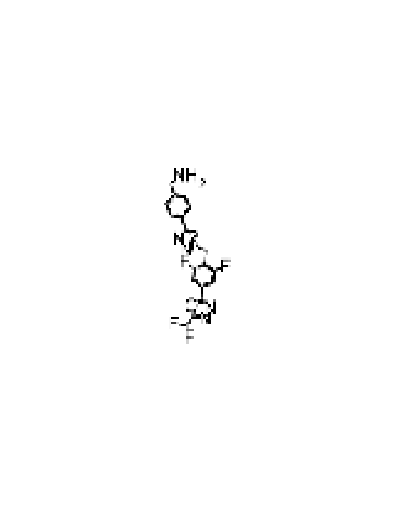 NCc1ccc(-c2cn(Cc3c(F)cc(-c4nnc(C(F)F)o4)cc3F)nn2)cc1